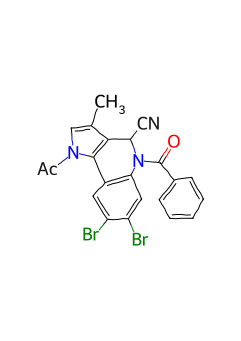 CC(=O)n1cc(C)c2c1-c1cc(Br)c(Br)cc1N(C(=O)c1ccccc1)C2C#N